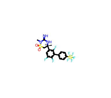 CN1C(=N)N[C@](C)(c2cc(F)c(F)c(-c3ccc(S(F)(F)(F)(F)F)cc3)c2F)CS1(=O)=O